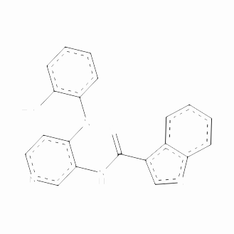 Cc1ccccc1Nc1ccncc1NC(=O)c1csc2ccccc12